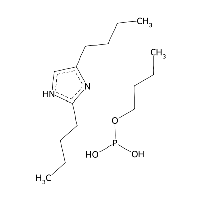 CCCCOP(O)O.CCCCc1c[nH]c(CCCC)n1